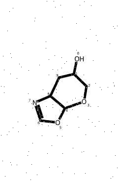 OC1COC2OC=NC2C1